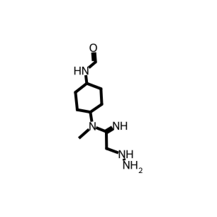 CN(C(=N)CNN)C1CCC(NC=O)CC1